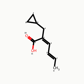 CC=CC=C(CC1CC1)C(=O)O